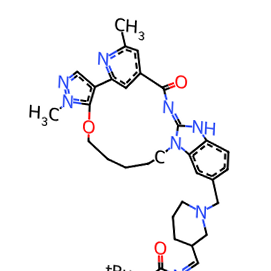 Cc1cc2cc(n1)-c1cnn(C)c1OCCCCCN1/C(=N/C2=O)Nc2ccc(CN3CCCC(/C=N\C(=O)OC(C)(C)C)C3)cc21